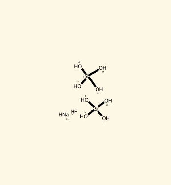 F.O[Si](O)(O)O.O[Si](O)(O)O.[NaH]